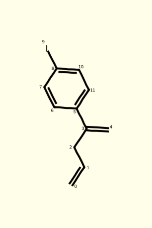 C=CCC(=C)c1ccc(I)cc1